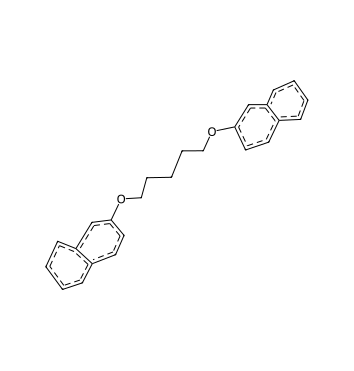 c1ccc2cc(OCCCCCOc3ccc4ccccc4c3)ccc2c1